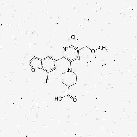 COCc1nc(N2CCC(C(=O)O)CC2)c(-c2cc(F)c3occc3c2)nc1Cl